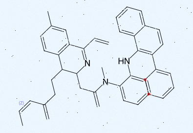 C=CC1=NC(CC(=C)N(C)c2ccccc2Nc2c(-c3ccccc3)ccc3ccccc23)C(CCC(=C)/C=C\C)c2ccc(C)cc21